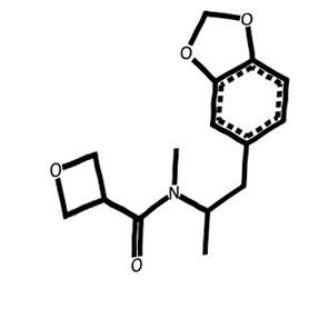 CC(Cc1ccc2c(c1)OCO2)N(C)C(=O)C1COC1